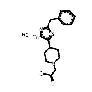 Cl.Cl.O=C(Cl)CN1CCC(c2cnc(Cc3ccccc3)s2)CC1